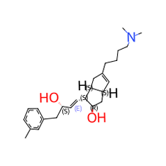 Cc1cccc(C[C@H](O)/C=C/[C@@H]2[C@H]3CC(CCCCN(C)C)=C[C@H]3C[C@H]2O)c1